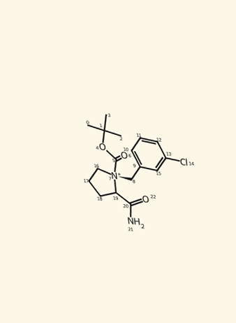 CC(C)(C)OC(=O)[N@@+]1(Cc2cccc(Cl)c2)CCCC1C(N)=O